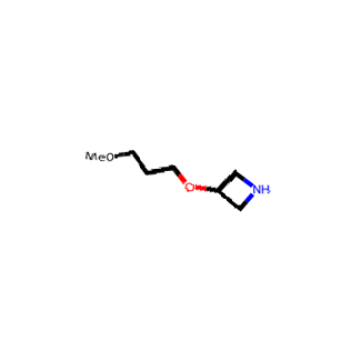 COCCCOC1CNC1